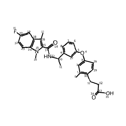 Cc1cc(Oc2cccc(C(C)NC(=O)c3c(C)c4cc(F)ccc4n3C)c2)ccc1CCC(=O)O